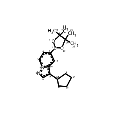 CC1(C)OB(c2ccn3ncc(C4CCCC4)c3c2)OC1(C)C